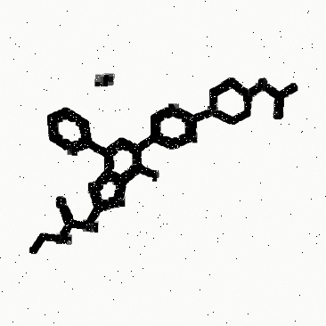 CCNC(=O)Nc1nc2c(F)c(-c3cnc(N4CCN(OC(C)=O)CC4)nc3)cc(-c3ccccn3)c2s1.[LiH]